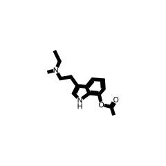 CCN(C)CCc1c[nH]c2c(OC(C)=O)cccc12